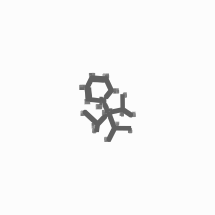 CC(C)[Si](C(C)C)(C(C)C)N1C=CC=CC1